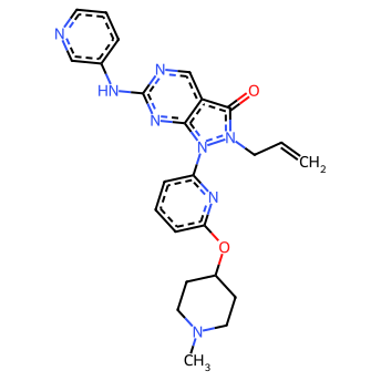 C=CCn1c(=O)c2cnc(Nc3cccnc3)nc2n1-c1cccc(OC2CCN(C)CC2)n1